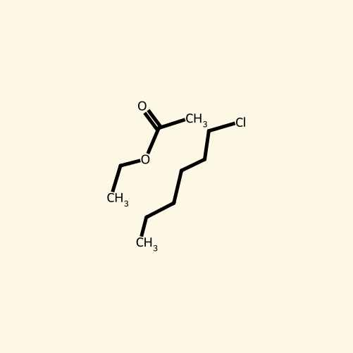 CCCCCCCl.CCOC(C)=O